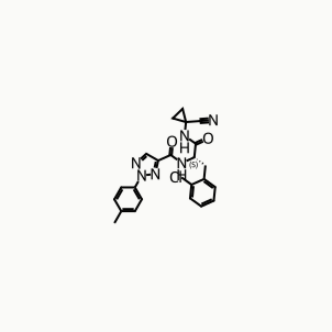 Cc1ccc(-n2ncc(C(=O)N[C@@H](Cc3ccccc3Cl)C(=O)NC3(C#N)CC3)n2)cc1